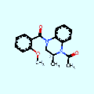 COc1ccccc1C(=O)N1C[C@H](C)N(C(C)=O)c2ccccc21